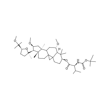 CO[C@H]1C[C@@]2(C)C3C[C@H](OC)[C@H]4C(C)(C)[C@@H](OC(=O)[C@@H](NC(=O)OC(C)(C)C)C(C)C)CCC45CC35CC[C@]2(C)[C@H]1[C@@]1(C)CC[C@@H](C(C)(C)OC)O1